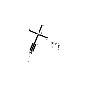 C[Si](C)(C)C#N.[I-].[I-].[Zn+2]